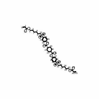 C=CC(=O)OCCCCCCS(=O)(=O)c1ccc(OC(=O)[C@H]2CC[C@H](C(=O)Oc3ccc(S(=O)(=O)CCCCCCOC(=O)C=C)cc3)CC2)cc1